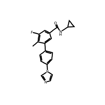 Cc1c(F)cc(C(=O)NC2CC2)cc1-c1ccc(-n2ccnc2)cc1